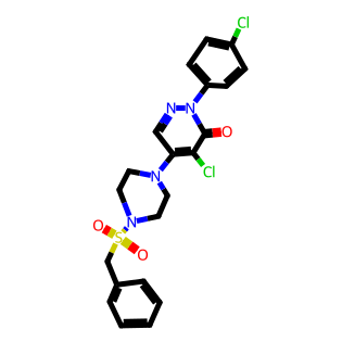 O=c1c(Cl)c(N2CCN(S(=O)(=O)Cc3ccccc3)CC2)cnn1-c1ccc(Cl)cc1